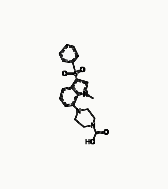 Cn1cc(S(=O)(=O)c2ccccc2)c2cccc(N3CCN(C(=O)O)CC3)c21